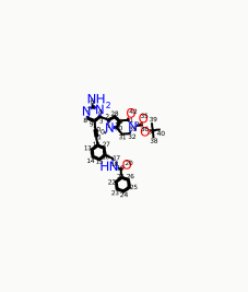 Cn1c(-c2nc(N)ncc2C#Cc2cccc(CNC(=O)c3ccccc3)c2)cc2c1CCN(C(=O)OC(C)(C)C)C2=O